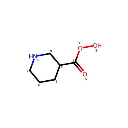 O=C(OO)C1CCCNC1